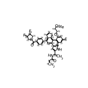 C=CC(=O)N[C@H](C)c1cc(-c2nc(-c3ccc(C(=O)N4C[C@@H](F)[C@@H](F)C4)cc3)c3ccsc3c2-c2c(F)cc(F)cc2OCCOC)n[nH]1